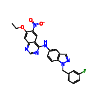 CCOc1cc2ncnc(Nc3ccc4c(cnn4Cc4cccc(F)c4)c3)c2cc1[N+](=O)[O-]